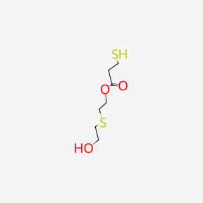 O=C(CCS)OCCSCCO